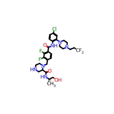 C[C@@H](CO)NC(=O)C1CNCCN1Cc1ccc(C(=O)Nc2ccc(Cl)cc2N2CCN(CCC(F)(F)F)CC2)c(F)c1F